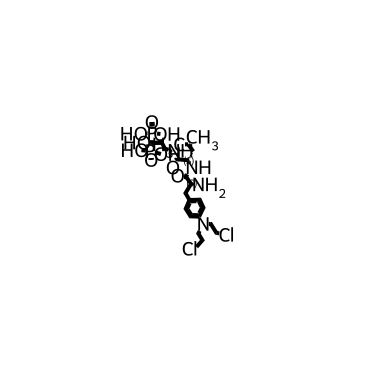 CC(C)C[C@H](NC(=O)[C@@H](N)Cc1ccc(N(CCCl)CCCl)cc1)C(=O)NCCC(O)(P(=O)(O)O)P(=O)(O)O